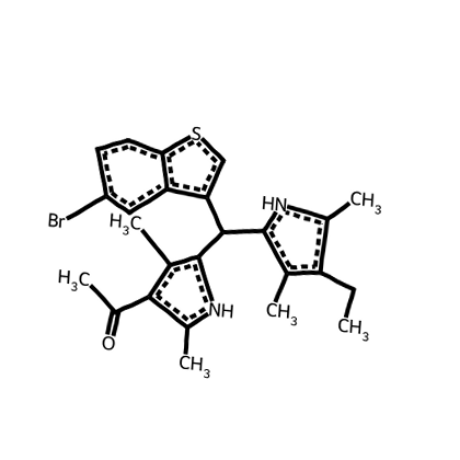 CCc1c(C)[nH]c(C(c2[nH]c(C)c(C(C)=O)c2C)c2csc3ccc(Br)cc23)c1C